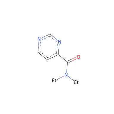 CCN(CC)C(=O)c1[c]cncn1